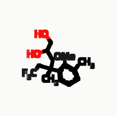 COc1c(C)cccc1C(C)(CC(O)CO)CC(F)(F)F